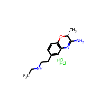 C[C@H]1Oc2ccc(CCNCC(F)(F)F)cc2N=C1N.Cl.Cl